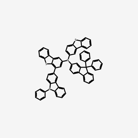 c1ccc(-n2c3ccccc3c3cc(-c4cc(N(c5ccc6c(c5)C(c5ccccc5)(c5ccccc5)c5ccccc5-6)c5ccc6sc7ccccc7c6c5)cc5c4sc4ccccc45)ccc32)cc1